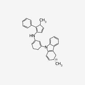 CC1C=CC(NC2=CCCC(n3c4c(c5ccccc53)C[C@H](C)C=C4)=C2)=C1c1ccccc1